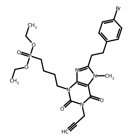 C#CCn1c(=O)c2c(nc(CCc3ccc(Br)cc3)n2C)n(CCCCP(=O)(OCC)OCC)c1=O